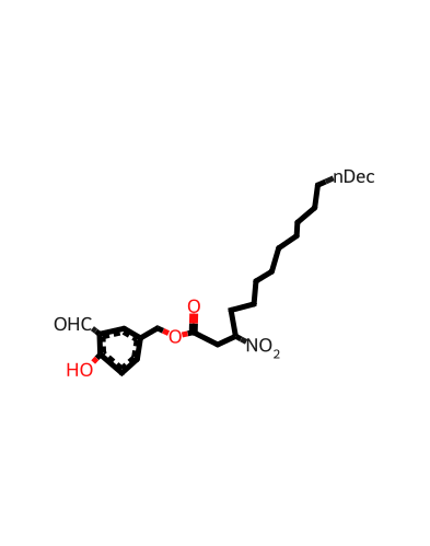 CCCCCCCCCCCCCCCCCCCC(CC(=O)OCc1ccc(O)c(C=O)c1)[N+](=O)[O-]